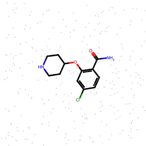 NC(=O)c1ccc(Cl)cc1OC1CCNCC1